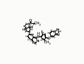 C=CC(=O)N1CC[C@@H]2C[C@H](c3ccc4ncnc(Nc5cc(C)c(Oc6ccn7ncnc7c6)cc5F)c4n3)C[C@@H]21